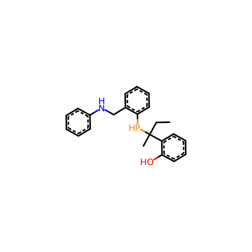 CCC(C)(Pc1ccccc1CNc1ccccc1)c1ccccc1O